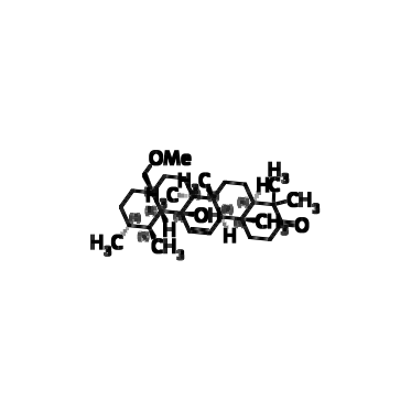 COC[C@]12CC[C@@H](C)[C@H](C)[C@H]1[C@@]1(O)C=C[C@@H]3[C@@]4(C)CCC(=O)C(C)(C)[C@@H]4CC[C@@]3(C)[C@]1(C)CC2